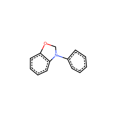 c1ccc(N2COc3ccccc32)cc1